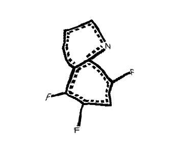 Fc1cc(F)c2ncccc2c1F